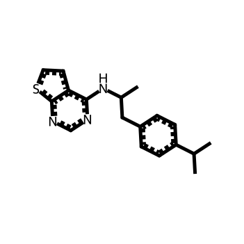 CC(Cc1ccc(C(C)C)cc1)Nc1ncnc2sccc12